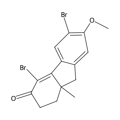 COc1cc2c(cc1Br)C1=C(Br)C(=O)CCC1(C)C2